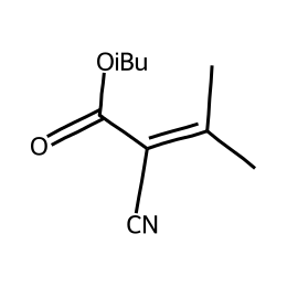 CC(C)=C(C#N)C(=O)OCC(C)C